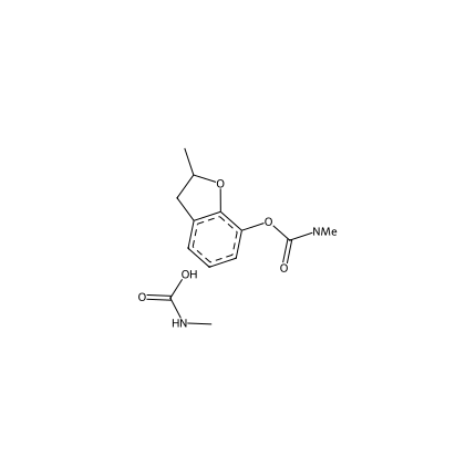 CNC(=O)O.CNC(=O)Oc1cccc2c1OC(C)C2